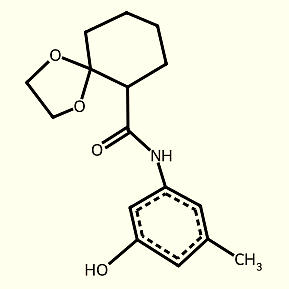 Cc1cc(O)cc(NC(=O)C2CCCCC23OCCO3)c1